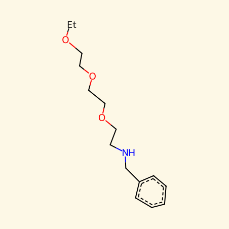 CCOCCOCCOCCNCc1ccccc1